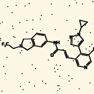 O=C(C=Cc1cncc(F)c1-c1cnn(C2CC2)c1)Nc1ccc2c(c1)CN(CC(F)(F)F)C2